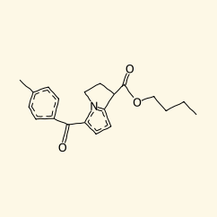 CCCCOC(=O)C1CCn2c(C(=O)c3ccc(C)cc3)ccc21